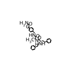 C[C@H](NC(=O)[C@@H](CCc1ccccc1)NCCc1ccccc1)C(=O)NCc1ccc(OC(N)=O)cc1